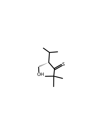 CC(C)[C@@H](CO)C(=S)C(C)(C)C